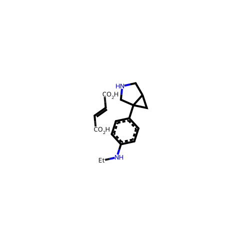 CCNc1ccc(C23CNCC2C3)cc1.O=C(O)/C=C/C(=O)O